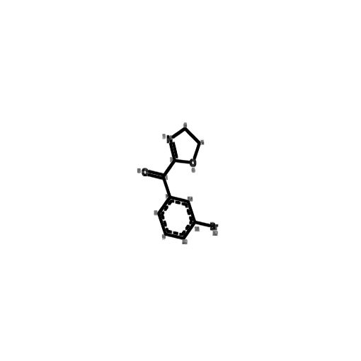 O=C(C1=NCCO1)c1cccc(Br)c1